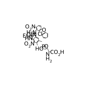 CCC(CC)Nc1c([N+](=O)[O-])cc(C)c(C)c1[N+](=O)[O-].CP(=O)(O)CCC(N)C(=O)O.Nc1c([N+](=O)[O-])ccc(Oc2ccccc2)c1Cl